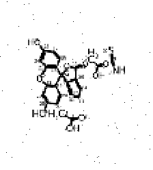 CC(=O)O.CC(=O)O.N=C=S.O=C1OC2(c3ccc(O)cc3Oc3cc(O)ccc32)c2ccccc21